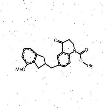 COc1cccc2c1CC(Cc1ccc3c(c1)C(=O)CCN3C(=O)OC(C)(C)C)C2